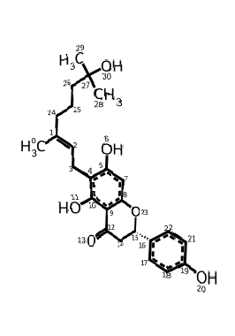 C/C(=C\Cc1c(O)cc2c(c1O)C(=O)C[C@@H](c1ccc(O)cc1)O2)CCCC(C)(C)O